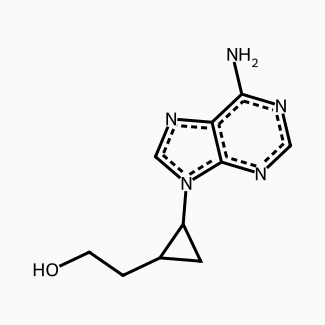 Nc1ncnc2c1ncn2C1CC1CCO